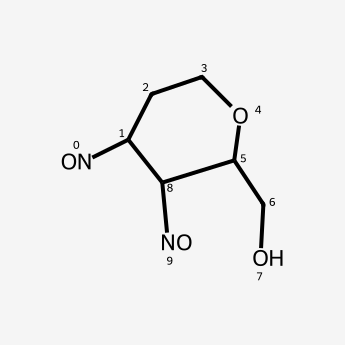 O=NC1CCOC(CO)C1N=O